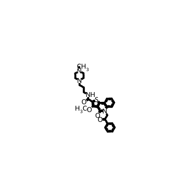 COc1c(C(=O)NCCCN2CCN(C)CC2)sc2c1c(=O)n(CC(=O)c1ccccc1)c1ccccc21